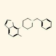 C[C@@H]1CN(Cc2ccccc2)CC[C@H]1c1c(F)ccc2ccoc12